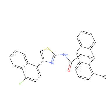 CC1(C(=O)Nc2nc(-c3ccc(F)c4ccccc34)cs2)CC2c3ccccc3C1c1cccc(C#N)c12